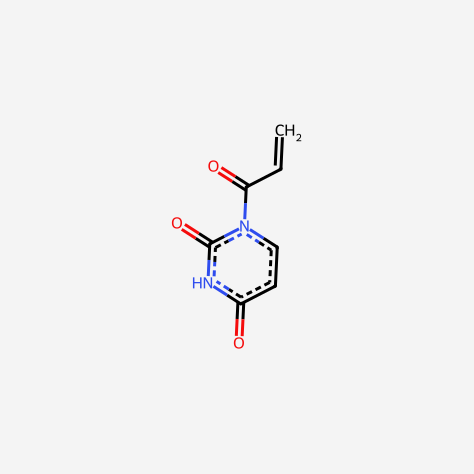 C=CC(=O)n1ccc(=O)[nH]c1=O